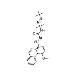 COc1ccc(NNC(=O)NC(C)(C)/N=N/C(C)(C)C)c2ccc3ccccc3c12